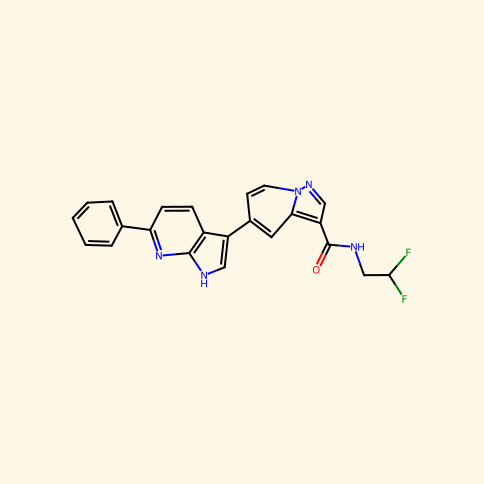 O=C(NCC(F)F)c1cnn2ccc(-c3c[nH]c4nc(-c5ccccc5)ccc34)cc12